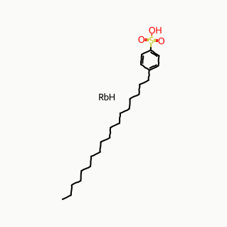 CCCCCCCCCCCCCCCCCCc1ccc(S(=O)(=O)O)cc1.[RbH]